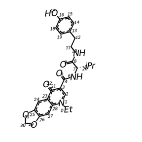 CCn1cc(C(=O)N[C@H](C(=O)NCCc2ccc(O)cc2)C(C)C)c(=O)c2cc3c(cc21)OCO3